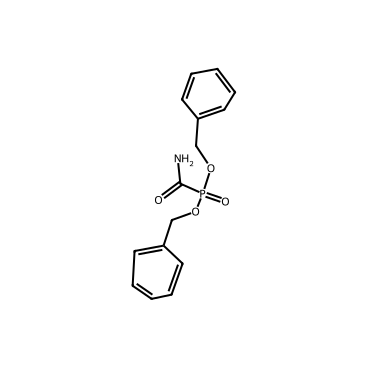 NC(=O)P(=O)(OCc1ccccc1)OCc1ccccc1